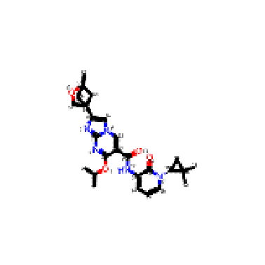 CC(C)Oc1nc2nc(C34COC(C)(C3)C4)cn2cc1C(=O)Nc1cccn([C@@H]2CC2(C)C)c1=O